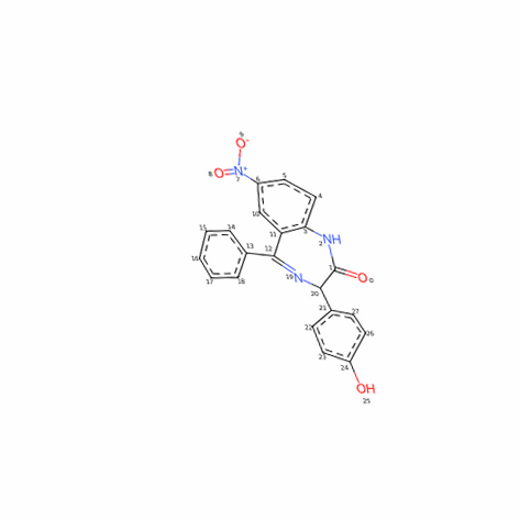 O=C1Nc2ccc([N+](=O)[O-])cc2C(c2ccccc2)=NC1c1ccc(O)cc1